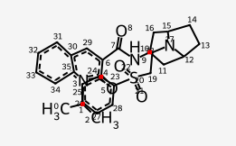 CC(C)n1c(=O)c(C(=O)NC2CC3CCC(C2)N3CCS(=O)(=O)c2ccccc2)cc2ccccc21